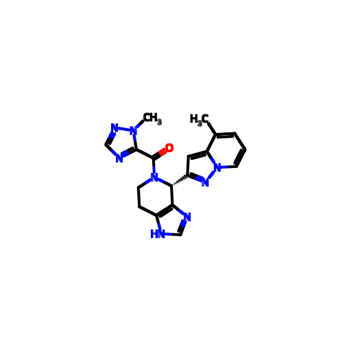 Cc1cccn2nc([C@@H]3c4nc[nH]c4CCN3C(=O)c3ncnn3C)cc12